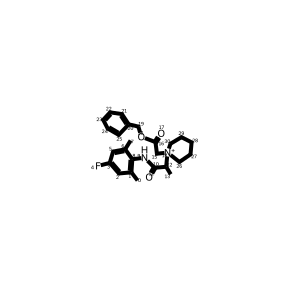 Cc1cc(F)cc(C)c1NC(=O)C(C)[N+]1(CC(=O)OCc2ccccc2)CCCCC1